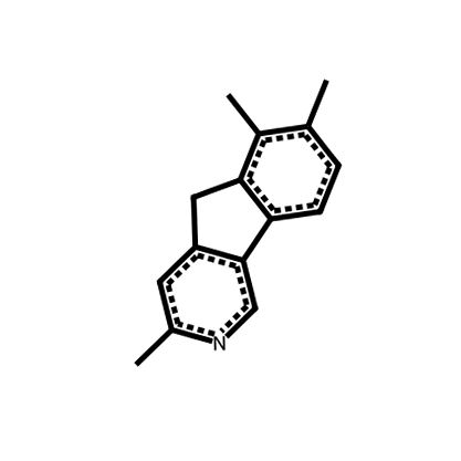 Cc1cc2c(cn1)-c1ccc(C)c(C)c1C2